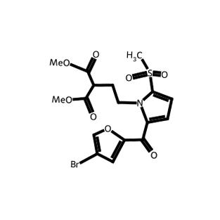 COC(=O)C(CCn1c(C(=O)c2cc(Br)co2)ccc1S(C)(=O)=O)C(=O)OC